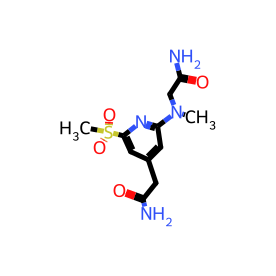 CN(CC(N)=O)c1cc(CC(N)=O)cc(S(C)(=O)=O)n1